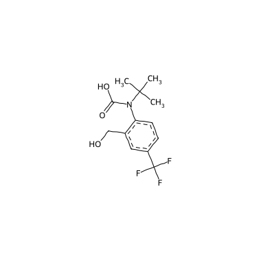 CC(C)(C)N(C(=O)O)c1ccc(C(F)(F)F)cc1CO